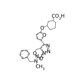 CN(Cc1ccccc1)C(=O)OCc1c(-c2ccc(OC3CCCC(C(=O)O)C3)o2)nnn1C